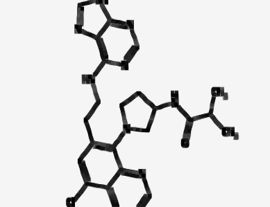 CC(C)C(=O)NC1CCN(c2c(CCNc3ncnc4[nH]cnc34)cc(Cl)c3cccnc23)C1